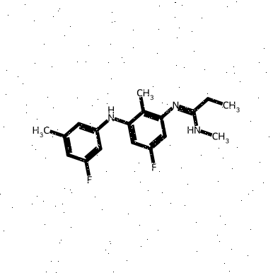 CCC(=Nc1cc(F)cc(Nc2cc(C)cc(F)c2)c1C)NC